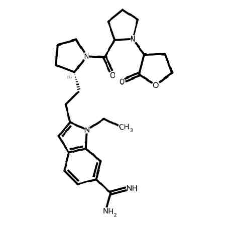 CCn1c(CC[C@@H]2CCCN2C(=O)C2CCCN2C2CCOC2=O)cc2ccc(C(=N)N)cc21